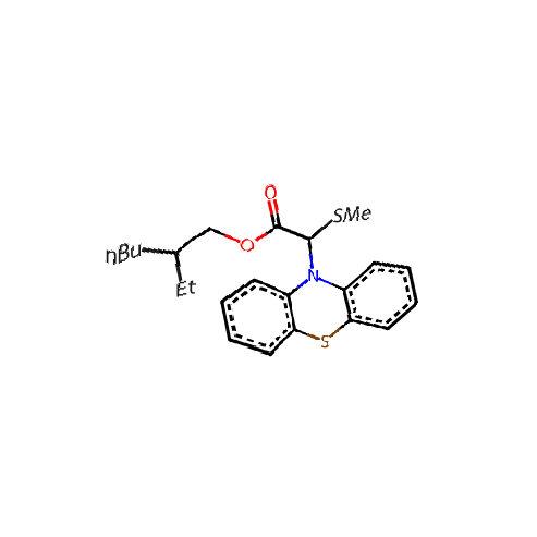 CCCCC(CC)COC(=O)C(SC)N1c2ccccc2Sc2ccccc21